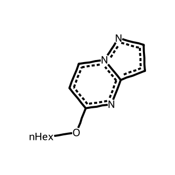 CCCCCCOc1ccn2nccc2n1